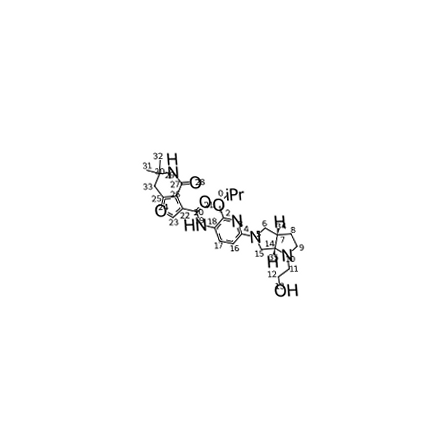 CC(C)Oc1nc(N2C[C@@H]3CCN(CCO)[C@@H]3C2)ccc1NC(=O)c1coc2c1C(=O)NC(C)(C)C2